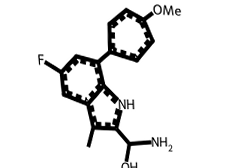 COc1ccc(-c2cc(F)cc3c(C)c(C(N)O)[nH]c23)cc1